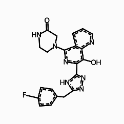 O=C1CN(c2nc(-c3nnc(Cc4ccc(F)cc4)[nH]3)c(O)c3ncccc23)CCN1